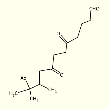 CC(=O)C(C)(C)C(C)CC(=O)CCC(=O)CCCC=O